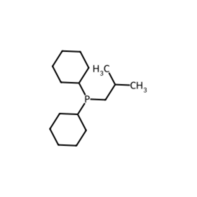 CC(C)CP(C1CCCCC1)C1CCCCC1